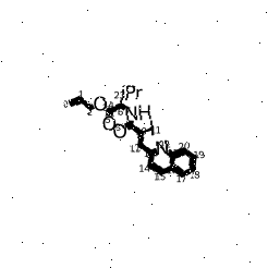 C=CCOC(=O)[C@@H](NC(=O)[C@@H](I)Cc1ccc2ccccc2n1)C(C)C